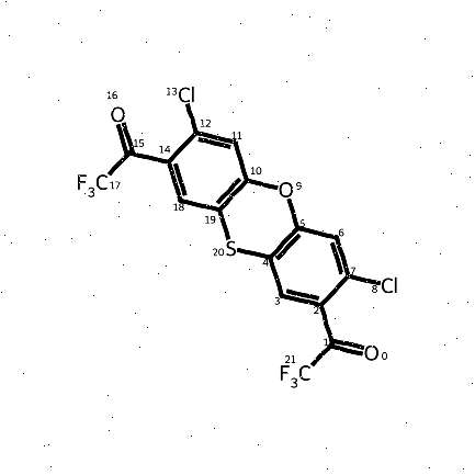 O=C(c1cc2c(cc1Cl)Oc1cc(Cl)c(C(=O)C(F)(F)F)cc1S2)C(F)(F)F